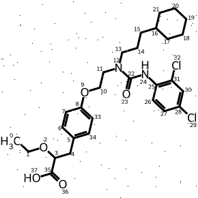 CCOC(Cc1ccc(OCCN(CCCC2CCCCC2)C(=O)Nc2ccc(Cl)cc2Cl)cc1)C(=O)O